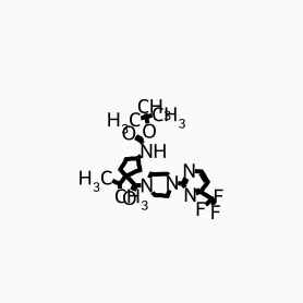 CC(C)C1(C(=O)N2CCN(c3nccc(C(F)(F)F)n3)CC2)CCC(NC(=O)OC(C)(C)C)C1